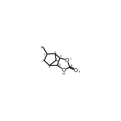 CC1CC2CC1C1OC(=O)OC21